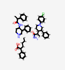 CC(C(=O)NC1CCNCC1c1ccccc1)c1ccccc1.CC(C(N)=O)C1CCN(c2ccc(Cl)cc2)CC1c1ccccc1.CCCCC(C(=O)O)c1ccccc1